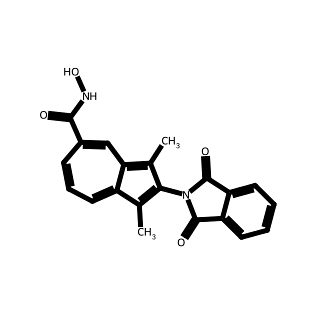 Cc1c2cccc(C(=O)NO)cc-2c(C)c1N1C(=O)c2ccccc2C1=O